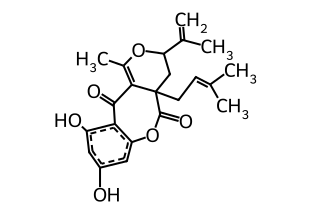 C=C(C)C1CC2(CC=C(C)C)C(=O)Oc3cc(O)cc(O)c3C(=O)C2=C(C)O1